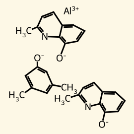 Cc1cc(C)cc([O-])c1.Cc1ccc2cccc([O-])c2n1.Cc1ccc2cccc([O-])c2n1.[Al+3]